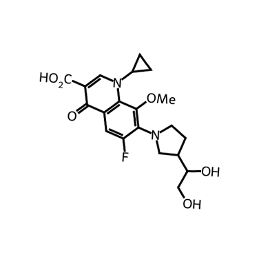 COc1c(N2CCC(C(O)CO)C2)c(F)cc2c(=O)c(C(=O)O)cn(C3CC3)c12